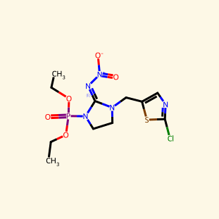 CCOP(=O)(OCC)N1CCN(Cc2cnc(Cl)s2)/C1=N\[N+](=O)[O-]